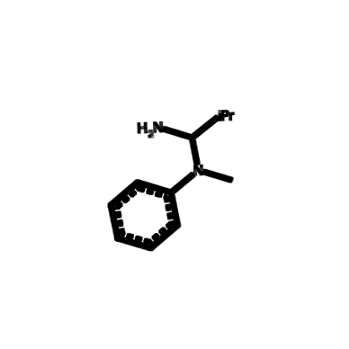 CC(C)C(N)N(C)c1ccccc1